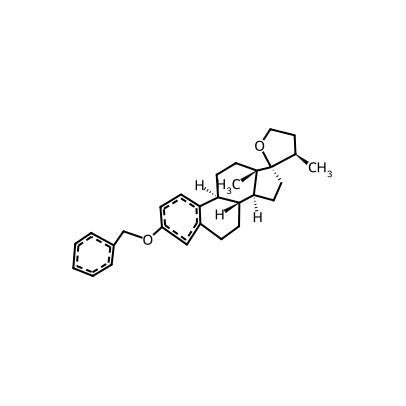 C[C@@H]1CCO[C@@]12CC[C@H]1[C@@H]3CCc4cc(OCc5ccccc5)ccc4[C@H]3CC[C@@]12C